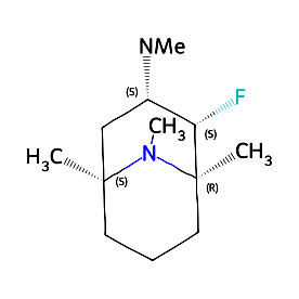 CN[C@H]1C[C@]2(C)CCC[C@](C)([C@H]1F)N2C